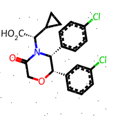 O=C(O)[C@H](C1CC1)N1C(=O)CO[C@@H](c2cccc(Cl)c2)[C@H]1c1ccc(Cl)cc1